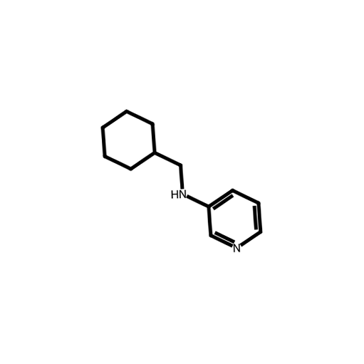 c1cncc(NCC2CCCCC2)c1